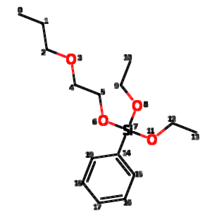 CCCOCCO[Si](OCC)(OCC)c1ccccc1